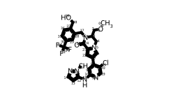 COCC1Cn2cc(-c3cc(Nc4ccnn4C)ncc3Cl)cc2C(=O)N1Cc1cc(C(F)(F)F)ccc1CO